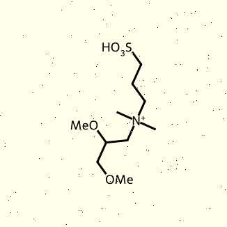 COCC(C[N+](C)(C)CCCS(=O)(=O)O)OC